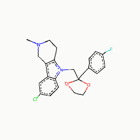 CN1CCc2c(c3cc(Cl)ccc3n2CC2(c3ccc(F)cc3)OCCO2)C1